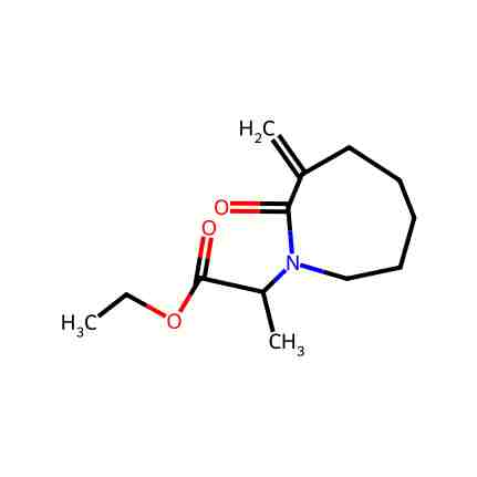 C=C1CCCCCN(C(C)C(=O)OCC)C1=O